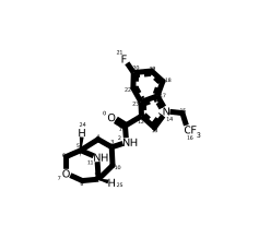 O=C(NC1C[C@H]2COC[C@@H](C1)N2)c1cn(CC(F)(F)F)c2ccc(F)cc12